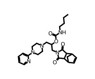 CCCCNC(=O)OC(CN1CCN(c2ccccn2)CC1)CN1C(=O)C2C3C=CC(C3)C2C1=O